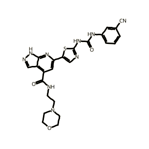 N#Cc1cccc(NC(=O)Nc2ncc(-c3cc(C(=O)NCCN4CCOCC4)c4cn[nH]c4n3)s2)c1